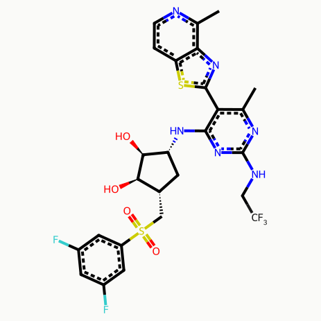 Cc1nc(NCC(F)(F)F)nc(N[C@@H]2C[C@H](CS(=O)(=O)c3cc(F)cc(F)c3)[C@@H](O)[C@H]2O)c1-c1nc2c(C)nccc2s1